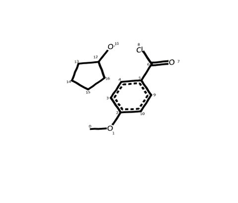 COc1ccc(C(=O)Cl)cc1.[O]C1CCCC1